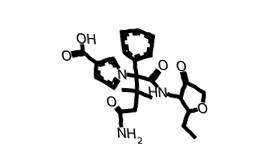 CCC1OCC(=O)C1NC(=O)C(c1ccccc1)(n1ccc(C(=O)O)c1)C(C)(C)CC(N)=O